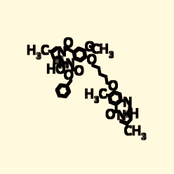 COc1cc2c(cc1OCCCCCOc1cc3c(cc1C)C(=O)N1C=C(C)C[C@H]1C=N3)N(C(=O)OCc1ccccc1)[C@@H](O)[C@@H]1CC(C)=CN1C2=O